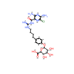 N=C(NCCCCc1ccc(OC2OC(C(=O)O)[C@@H](O)[C@H](O)[C@H]2O)cc1)NC(=O)c1nc(Cl)c(N)nc1N